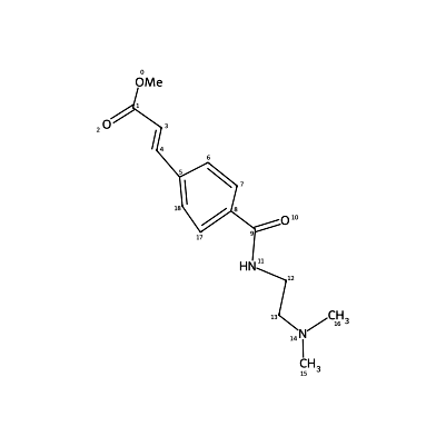 COC(=O)C=Cc1ccc(C(=O)NCCN(C)C)cc1